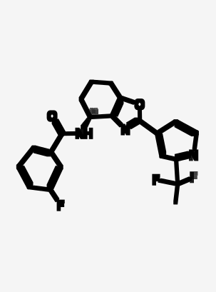 CC(F)(F)c1cc(-c2nc3c(o2)CCC[C@@H]3NC(=O)c2cccc(F)c2)ccn1